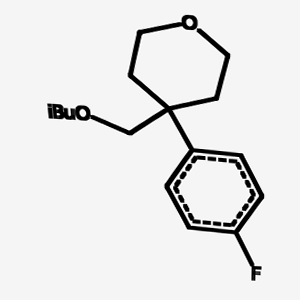 CC(C)COCC1(c2ccc(F)cc2)CCOCC1